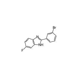 Fc1ccc2nc(-c3cccc(Br)c3)[nH]c2c1